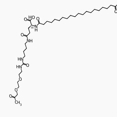 CC(=O)COCCOCCNC(=O)NCCCCNC(=O)CC[C@H](NC(=O)CCCCCCCCCCCCCCCCCCC(=O)O)C(=O)O